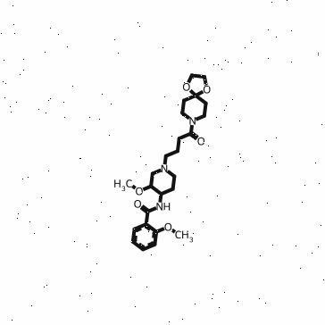 COc1ccccc1C(=O)NC1CCN(CCCC(=O)N2CCC3(CC2)OCCO3)CC1OC